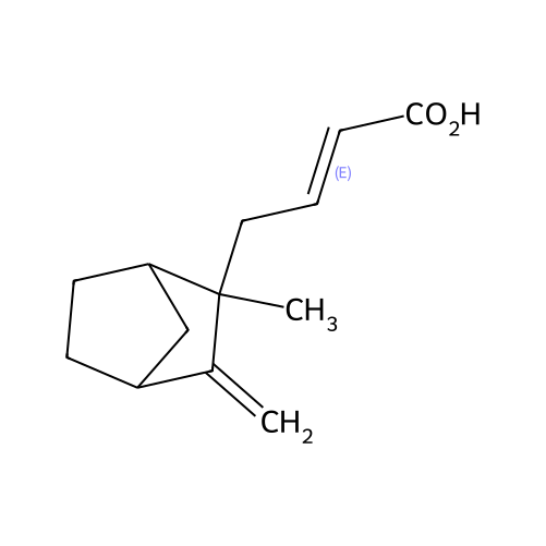 C=C1C2CCC(C2)C1(C)C/C=C/C(=O)O